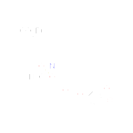 CCOC(=O)CCCCCCN(CCCC(O)COc1ccc2c(c1)OCO2)S(C)(=O)=O